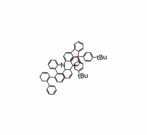 CC(C)(C)c1ccc(C2(c3ccc(C(C)(C)C)cc3)c3ccccc3-c3ccc(N(c4ccccc4-c4ccccc4C4=C(c5ccccc5)CCC=C4)C4C=CC=CC4c4ccccc4)cc32)cc1